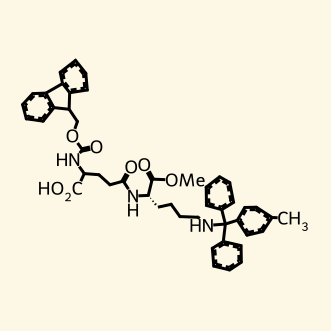 COC(=O)[C@H](CCCCNC(c1ccccc1)(c1ccccc1)c1ccc(C)cc1)NC(=O)CCC(NC(=O)OCC1c2ccccc2-c2ccccc21)C(=O)O